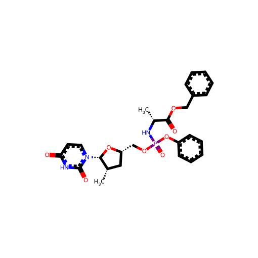 C[C@@H](NP(=O)(OC[C@@H]1C[C@H](C)[C@H](n2ccc(=O)[nH]c2=O)O1)Oc1ccccc1)C(=O)OCc1ccccc1